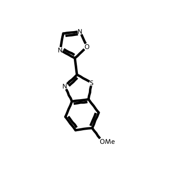 COc1ccc2nc(-c3ncno3)sc2c1